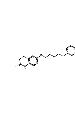 O=C1CCc2cc(OCCCSCc3ccccc3)ccc2N1